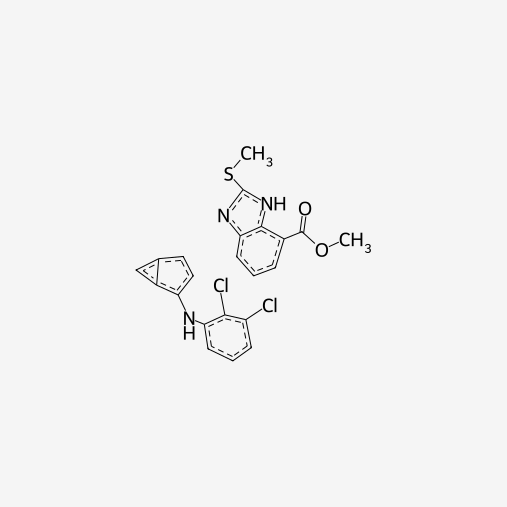 COC(=O)c1cccc2nc(SC)[nH]c12.Clc1cccc(Nc2ccc3cc2-3)c1Cl